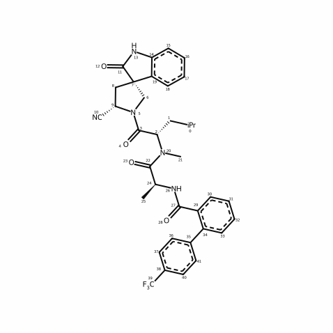 CC(C)C[C@@H](C(=O)N1C[C@]2(C[C@H]1C#N)C(=O)Nc1ccccc12)N(C)C(=O)[C@H](C)NC(=O)c1ccccc1-c1ccc(C(F)(F)F)cc1